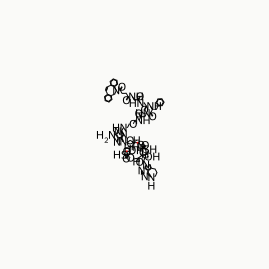 Nc1nc(NCCOCNC(=O)CNC(=O)[C@H](Cc2ccccc2)NC(=O)CNC(=O)CNC(=O)CCC(=O)N2Cc3ccccc3C#Cc3ccccc32)nc2c1ncn2[C@@H]1O[C@@H]2COP(=O)(S)O[C@H]3[C@@H](O)[C@H](n4cc5c6c(ncnc64)NCCC5)O[C@@H]3COP(=O)(S)O[C@@H]1[C@@H]2O